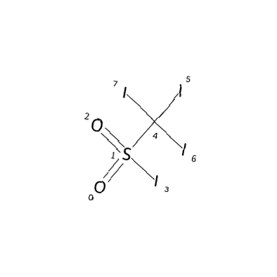 O=S(=O)(I)C(I)(I)I